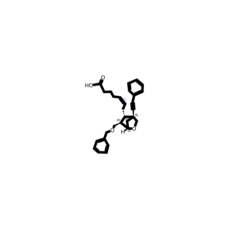 O=C(O)CCC/C=C\C[C@H]1[C@H](COCc2ccccc2)[C@@H]2C[C@@]1(C#Cc1ccccc1)CO2